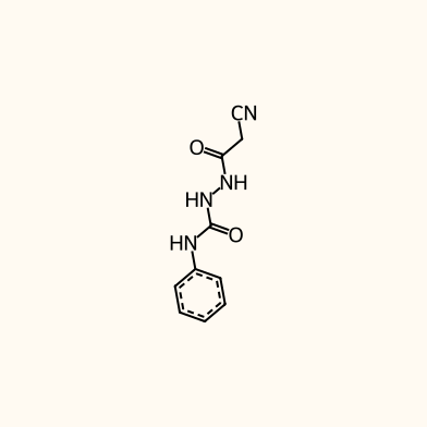 N#CCC(=O)NNC(=O)Nc1ccccc1